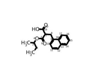 CCC(C)OC(=O)C(Cc1cccc2ccccc12)C(=O)O